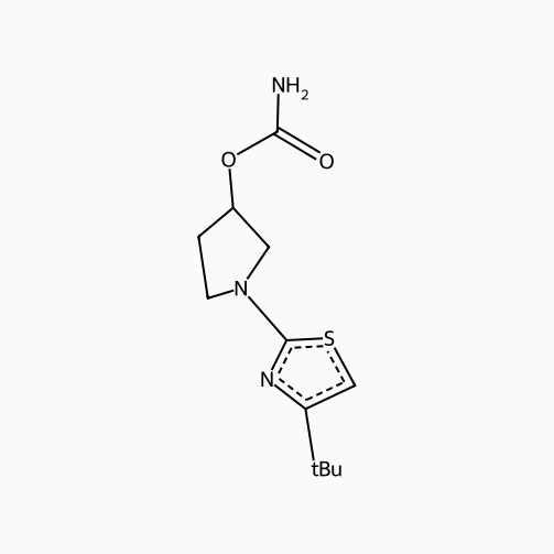 CC(C)(C)c1csc(N2CCC(OC(N)=O)C2)n1